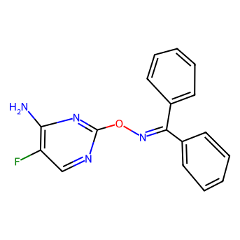 Nc1nc(ON=C(c2ccccc2)c2ccccc2)ncc1F